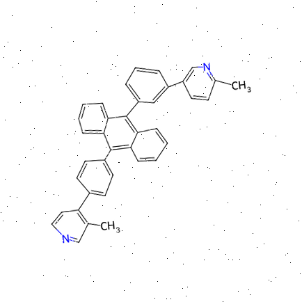 Cc1ccc(-c2cccc(-c3c4ccccc4c(-c4ccc(-c5ccncc5C)cc4)c4ccccc34)c2)cn1